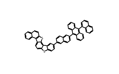 c1ccc2c(-c3c4ccccc4c(-c4ccc5cc(-c6ccc7sc8ccc9c(sc%10ccc%11ccccc%11c%109)c8c7c6)ccc5c4)c4ccccc34)cccc2c1